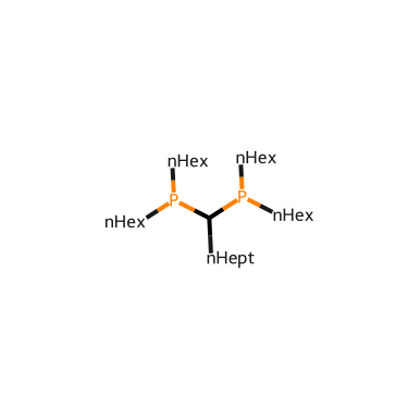 CCCCCCCC(P(CCCCCC)CCCCCC)P(CCCCCC)CCCCCC